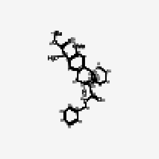 COc1cc2c(cc1N(C)C(=O)OC(C)(C)C)C[C@H]1[C@H]3CCCC[C@@]23CCN1C(=O)OCc1ccccc1